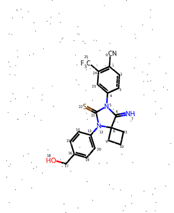 N#Cc1ccc(N2C(=N)C3(CCC3)N(c3ccc(CO)cc3)C2=S)cc1C(F)(F)F